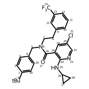 CC(C)(C)c1ccc(CN(CCc2cccc(C(F)(F)F)c2)C(=O)c2cc(Cl)cnc2NC2CC2)cc1